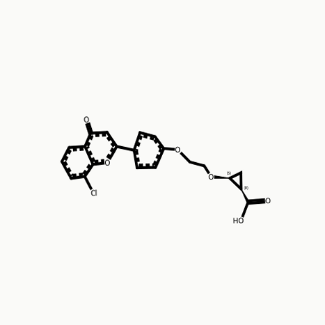 O=C(O)[C@@H]1C[C@@H]1OCCOc1ccc(-c2cc(=O)c3cccc(Cl)c3o2)cc1